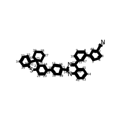 N#Cc1cccc(-c2cccc(-c3nc(-c4ccc(-c5ccc6c(c5)C5(CCCCC5)c5ccccc5S6)cc4)nc4ccccc34)c2)c1